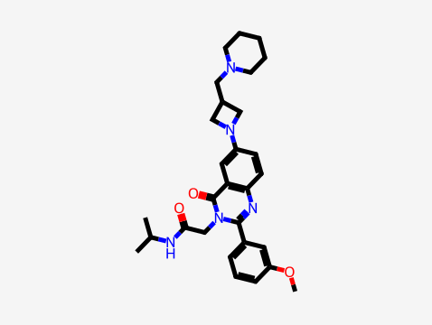 COc1cccc(-c2nc3ccc(N4CC(CN5CCCCC5)C4)cc3c(=O)n2CC(=O)NC(C)C)c1